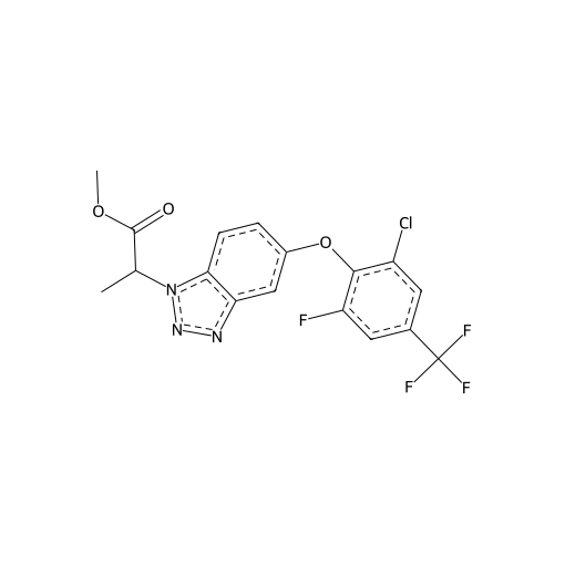 COC(=O)C(C)n1nnc2cc(Oc3c(F)cc(C(F)(F)F)cc3Cl)ccc21